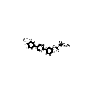 CCCCCCCCOc1ccc(-c2cnc(-c3cccc(OC(=O)[C@@H]4O[C@@H]4CCC)c3)nc2)cc1